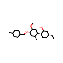 CC[C@@H]1CC[C@H](C2CC(OC)[C@H](OCC3CCC(C)CC3)C[C@@H]2C)C(O)C1